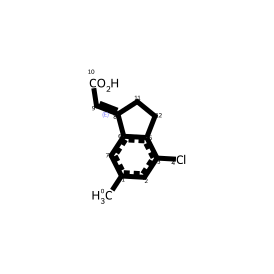 Cc1cc(Cl)c2c(c1)/C(=C/C(=O)O)CC2